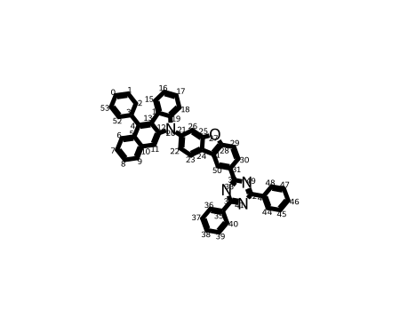 C1=CCC(c2c3ccccc3cc3c2c2ccccc2n3-c2ccc3c(c2)oc2ccc(-c4nc(-c5ccccc5)nc(-c5ccccc5)n4)cc23)C=C1